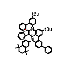 CC(C)(C)c1ccc(N2c3cc(C(C)(C)C)cc4c3B(c3c2sc2ccccc32)N(c2ccc3c(c2)C(C)(C)CCC3(C)C)c2ccc(-c3ccccc3)cc2-4)c(-c2ccccc2)c1